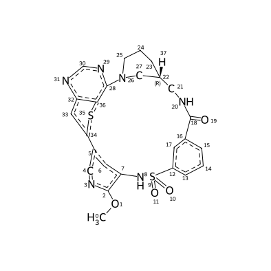 COc1ncc2cc1NS(=O)(=O)c1cccc(c1)C(=O)NC[C@H]1CCCN(C1)c1ncnc3cc-2sc13